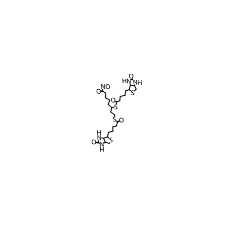 O=NC(=O)CCCCC(CCSC(=O)CCCCC1SCC2NC(=O)NC21)SC(=O)CCCCC1SCC2NC(=O)NC21